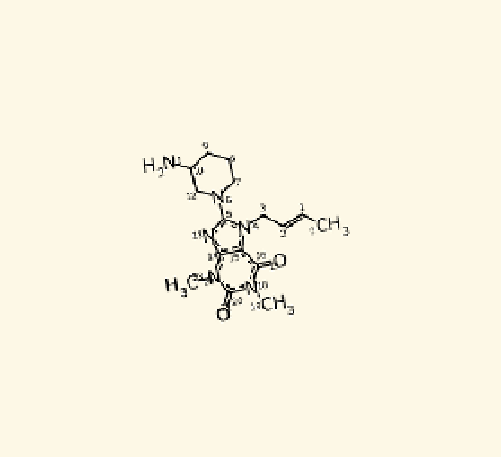 CC=CCn1c(N2CCCC(N)C2)nc2c1c(=O)n(C)c(=O)n2C